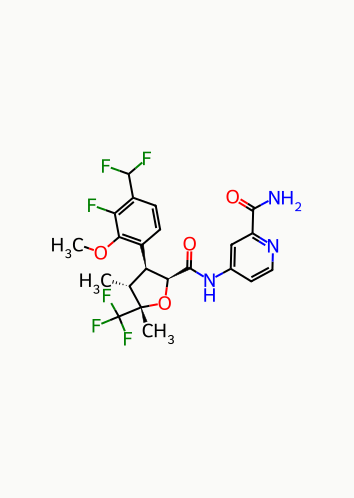 COc1c([C@H]2[C@@H](C(=O)Nc3ccnc(C(N)=O)c3)O[C@](C)(C(F)(F)F)[C@@H]2C)ccc(C(F)F)c1F